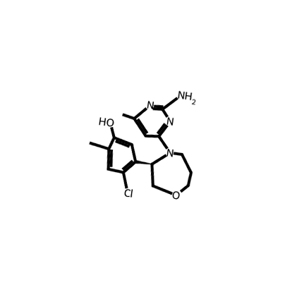 Cc1cc(N2CCCOC[C@H]2c2cc(O)c(C)cc2Cl)nc(N)n1